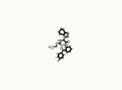 CCOC(=O)NC(C(=O)Nc1ccccc1C(=O)c1ccc(F)cc1)n1nnc2ccccc21